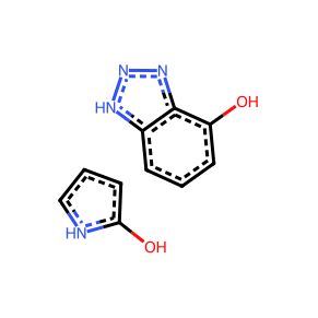 Oc1ccc[nH]1.Oc1cccc2[nH]nnc12